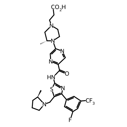 C[C@@H]1CCCN1Cc1sc(NC(=O)c2cnc(N3CCN(CCC(=O)O)C[C@H]3C)cn2)nc1-c1cc(F)cc(C(F)(F)F)c1